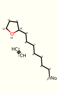 C#C.CCCCCCCCCCCCCCCCC1CCCO1